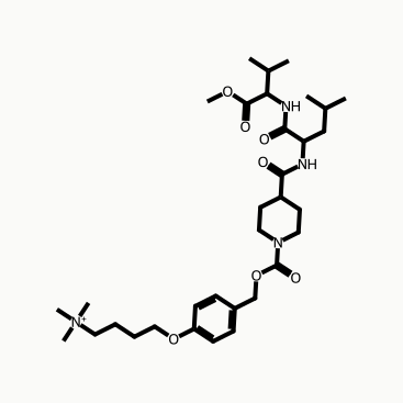 COC(=O)C(NC(=O)C(CC(C)C)NC(=O)C1CCN(C(=O)OCc2ccc(OCCCC[N+](C)(C)C)cc2)CC1)C(C)C